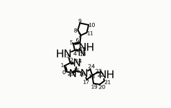 c1cc(Nc2cc(C3CCCC3)[nH]n2)nc(N2CC3(CCCNC3)C2)n1